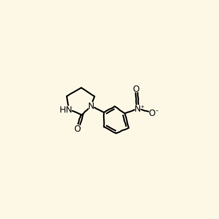 O=C1NCCCN1c1cccc([N+](=O)[O-])c1